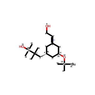 CC(C)(C[C@@H]1C/C(=C\CO)C[C@@H](O[Si](C)(C)C(C)(C)C)C1)[Si](C)(C)O